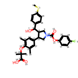 CSc1ccc(C(O)C2CN(C(=O)Oc3ccc(F)cc3)CC2c2cc(C)c(OC(C)(C)C(=O)O)c(C)c2)cc1